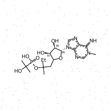 CCC(C)(CC1O[C@@H](n2cnc3c(=N)n(C)cnc32)[C@H](O)[C@@H]1O)OP(=O)(O)C(C)(C)O